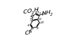 Nc1c(C(=O)O)sc2cc(Cl)ccc12